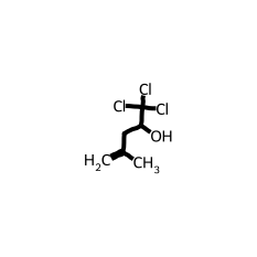 C=C(C)CC(O)C(Cl)(Cl)Cl